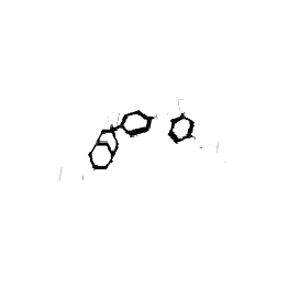 CC1CC2CC(C1)CC(C)(c1ccc(Oc3ccc(N)cc3F)cc1)C2